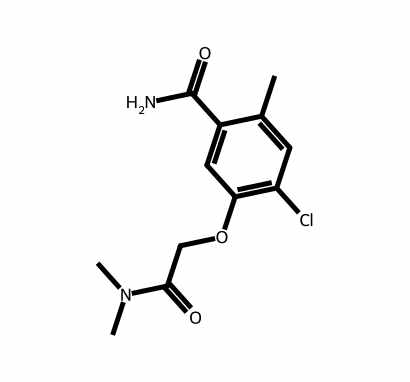 Cc1cc(Cl)c(OCC(=O)N(C)C)cc1C(N)=O